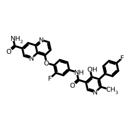 Cc1ncc(C(=O)Nc2ccc(Oc3ccnc4cc(C(N)=O)cnc34)c(F)c2)c(O)c1-c1ccc(F)cc1